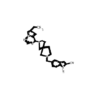 N#Cc1cc2cc(CN3CCC4(CCN(c5ncnn6cc(CC(F)(F)F)cc56)C4)C3)ccc2[nH]1